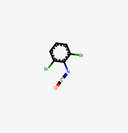 O=C=Nc1c(Br)cccc1Br